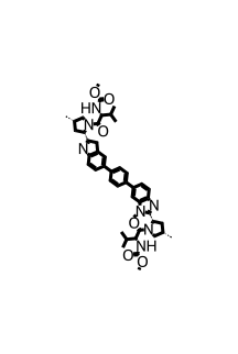 COC(=O)N[C@H](C(=O)N1C[C@@H](C)C[C@H]1C1=Nc2ccc(-c3ccc(-c4ccc5nc([C@@H]6C[C@H](C)CN6C(=O)[C@@H](NC(=O)OC)C(C)C)n(C)c5c4)cc3)cc2C1)C(C)C